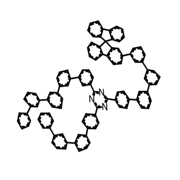 c1ccc(-c2cccc(-c3cccc(-c4ccc(-c5nc(-c6ccc(-c7cccc(-c8cccc(-c9cccc(-c%10ccc%11c(c%10)C%10(c%12ccccc%12-c%12ccccc%12%10)c%10ccccc%10-%11)c9)c8)c7)cc6)nc(-c6cccc(-c7cccc(-c8cccc(-c9cccc(-c%10ccccc%10)c9)c8)c7)c6)n5)cc4)c3)c2)cc1